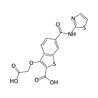 O=C(O)COc1c(C(=O)O)sc2cc(C(=O)Nc3nccs3)ccc12